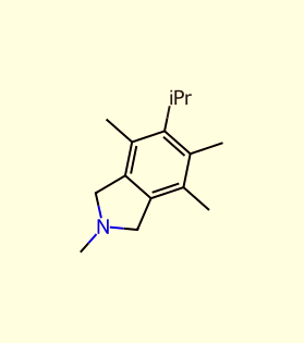 Cc1c(C)c(C(C)C)c(C)c2c1CN(C)C2